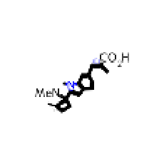 CNC1(c2cc3ccc(/C=C(\C)C(=O)O)cc3n2C)CC[C@H]1C